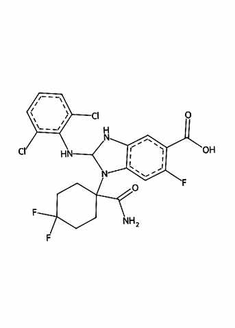 NC(=O)C1(N2c3cc(F)c(C(=O)O)cc3NC2Nc2c(Cl)cccc2Cl)CCC(F)(F)CC1